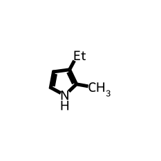 CCc1cc[nH]c1C